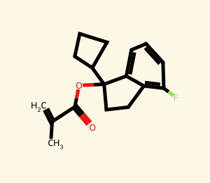 C=C(C)C(=O)OC1(C2CCC2)CCc2c(F)cccc21